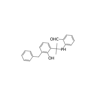 CC(C)(Pc1ccccc1C=O)c1cccc(Cc2ccccc2)c1O